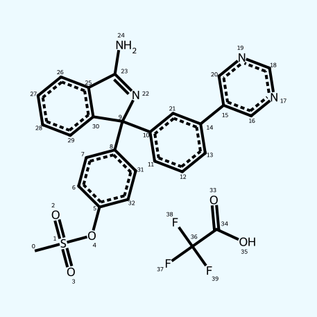 CS(=O)(=O)Oc1ccc(C2(c3cccc(-c4cncnc4)c3)N=C(N)c3ccccc32)cc1.O=C(O)C(F)(F)F